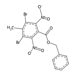 Cc1c(Br)c([N+](=O)[O-])c(C(=O)OCc2ccccc2)c([N+](=O)[O-])c1Br